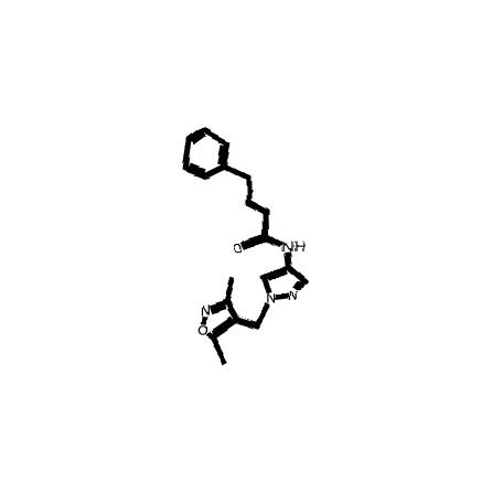 Cc1noc(C)c1Cn1cc(NC(=O)CCCc2ccccc2)cn1